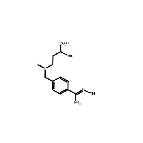 CN(CCC(C(=O)O)C(C)(C)C)Cc1ccc(C(N)=NO)cc1